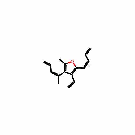 C=C/C=C\c1oc(C)c(/C(C)=C\C=C)c1C=C